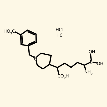 Cl.Cl.NC(CCCC(C(=O)O)C1CCN(Cc2cccc(C(=O)O)c2)CC1)B(O)O